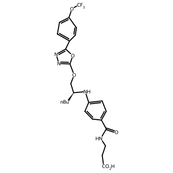 CCCC[C@@H](COc1nnc(-c2ccc(OC(F)(F)F)cc2)o1)Nc1ccc(C(=O)NCCC(=O)O)cc1